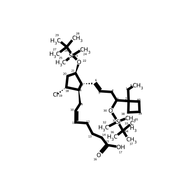 CCC1(C(C/C=C/[C@@H]2[C@@H](C/C=C\CCCC(=O)O)[C@H](Cl)C[C@H]2O[Si](C)(C)C(C)(C)C)O[Si](C)(C)C(C)(C)C)CCC1